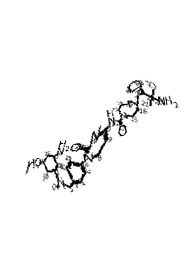 CN(Cc1ccc(-n2ccc(NC(=O)N3CCN(C(=O)C(C)(C)N)CC3)nc2=O)cc1)C1CC(N)CC(O)C1